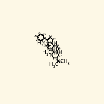 CN(C)[C@H]1CC[C@@]2(C)[C@@H](CC[C@@H]3[C@@H]2CC[C@]2(C)C(c4ccccc4)=CC[C@@H]32)C1